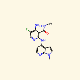 CC(C)NC(=O)c1c(Nc2ccnc3c2ccn3C)ncc(F)c1N